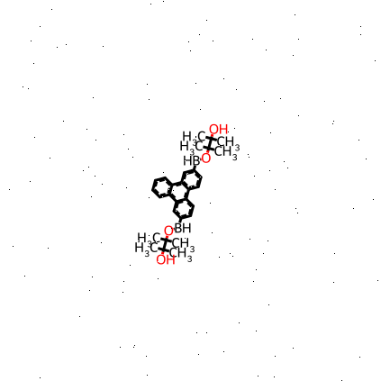 CC(C)(O)C(C)(C)OBc1ccc2c3ccc(BOC(C)(C)C(C)(C)O)cc3c3ccccc3c2c1